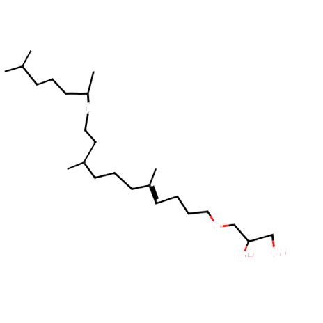 C/C(=C\CCCOCC(O)CO)CCCC(C)CCCC(C)CCCC(C)C